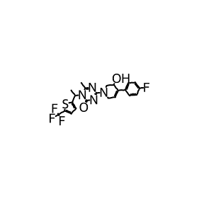 Cc1nc(N2CC=C(c3ccc(F)cc3)C(O)C2)nc(=O)n1C(C)c1ccc(C(F)(F)F)s1